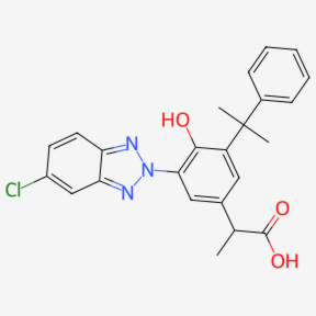 CC(C(=O)O)c1cc(-n2nc3ccc(Cl)cc3n2)c(O)c(C(C)(C)c2ccccc2)c1